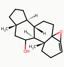 C[C@@]12CCC[C@H]1[C@@H]1CCC34OC3=CCC[C@]4(C)[C@H]1C(O)C2